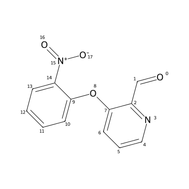 O=Cc1ncccc1Oc1ccccc1[N+](=O)[O-]